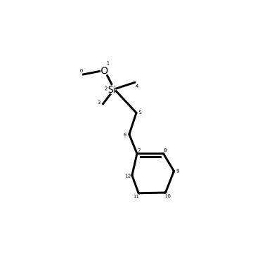 CO[Si](C)(C)CCC1=CCCCC1